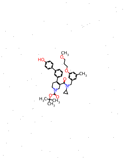 COCCCOc1cc(C)cc(CN(C(=O)C2=C(c3cccc(-c4ccc(O)cc4)c3)CCN(C(=O)OC(C)(C)C)C2)C2CC2)c1